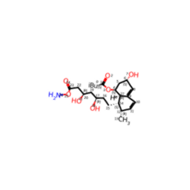 CC[C@H](C)C(=O)O[C@H]1C[C@H](O)C=C2C=C[C@H](C)[C@H](CC[C@@H](O)C[C@@H](O)CC(=O)ON)[C@H]21